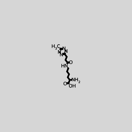 Cc1nnc(CCC(=O)NCCCCC(N)C(=O)O)nn1